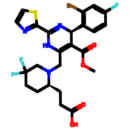 COC(=O)C1=C(CN2CC(F)(F)CC[C@H]2CCC(=O)O)NC(c2nccs2)=N[C@H]1c1ccc(F)cc1Br